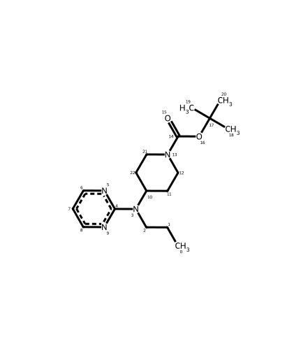 CCCN(c1ncccn1)C1CCN(C(=O)OC(C)(C)C)CC1